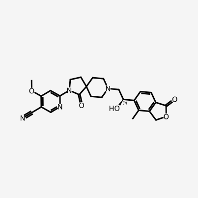 COc1cc(N2CCC3(CCN(C[C@H](O)c4ccc5c(c4C)COC5=O)CC3)C2=O)ncc1C#N